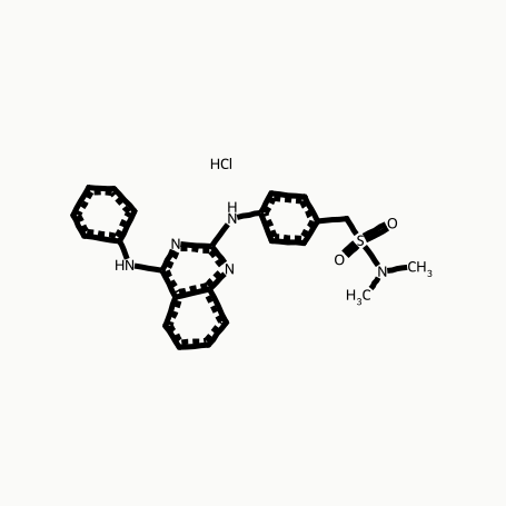 CN(C)S(=O)(=O)Cc1ccc(Nc2nc(Nc3ccccc3)c3ccccc3n2)cc1.Cl